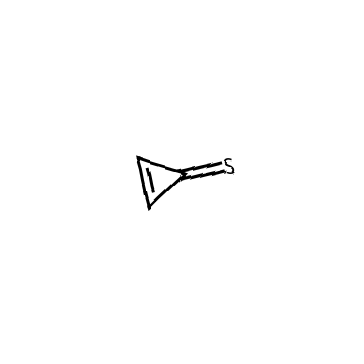 S=c1cc1